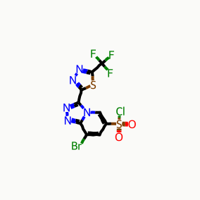 O=S(=O)(Cl)c1cc(Br)c2nnc(-c3nnc(C(F)(F)F)s3)n2c1